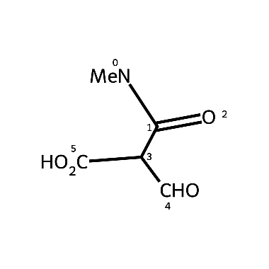 CNC(=O)C(C=O)C(=O)O